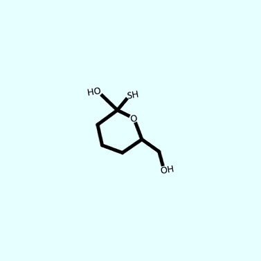 OCC1CCCC(O)(S)O1